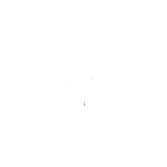 CCOc1ccc(N2CCN(S(=O)(=O)c3ccc(F)cc3)C[C@@H](CC(C)C)C2)cc1